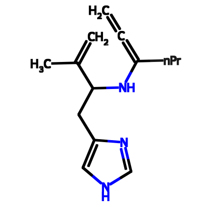 C=C=C(CCC)NC(Cc1c[nH]cn1)C(=C)C